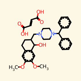 COc1cc2c(cc1OC)C(O)C(CN1CCN(C(c3ccccc3)c3ccccc3)CC1)CC2.O=C(O)C=CC(=O)O